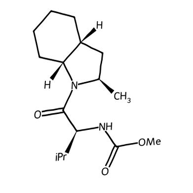 COC(=O)N[C@H](C(=O)N1[C@H](C)C[C@H]2CCCC[C@H]21)C(C)C